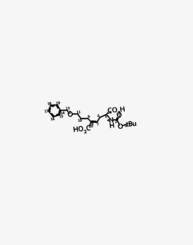 CC(C)(C)OC(=O)N[C@@H](C/C=C(\CCCOCc1ccccc1)C(=O)O)C(=O)O